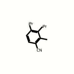 Cc1c(C#N)ccc(C(C)C)c1C(C)C